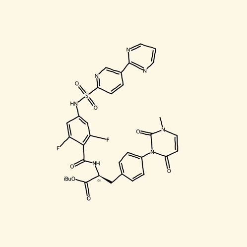 CC(C)COC(=O)[C@H](Cc1ccc(-n2c(=O)ccn(C)c2=O)cc1)NC(=O)c1c(F)cc(NS(=O)(=O)c2ccc(-c3ncccn3)cn2)cc1F